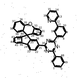 c1ccc(-c2nc(-c3cccc(-c4ccccn4)c3)nc(-c3ccc4c(c3)C3(c5ccccc5Oc5ccccc53)c3ccccc3-4)n2)cc1